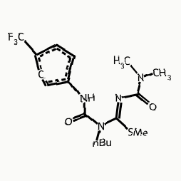 CCCCN(C(=O)Nc1ccc(C(F)(F)F)cc1)C(=NC(=O)N(C)C)SC